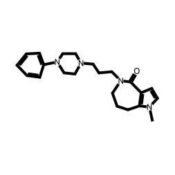 Cn1ccc2c1CCCN(CCCN1CCN(c3ccccc3)CC1)C2=O